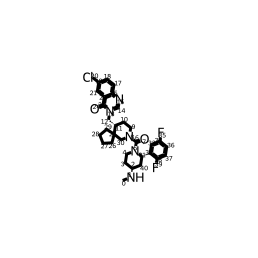 CN[C@@H]1CCN(C(=O)N2CC[C@@H](Cn3cnc4ccc(Cl)cc4c3=O)C3(CCCC3)C2)[C@H](c2cc(F)ccc2F)C1